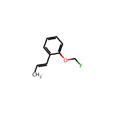 [CH2]/C=C/c1ccccc1OCF